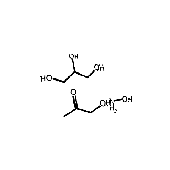 CC(=O)CO.NO.OCC(O)CO